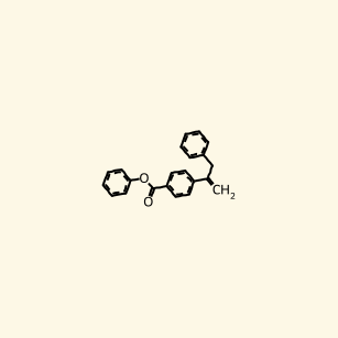 C=C(Cc1ccccc1)c1ccc(C(=O)Oc2ccccc2)cc1